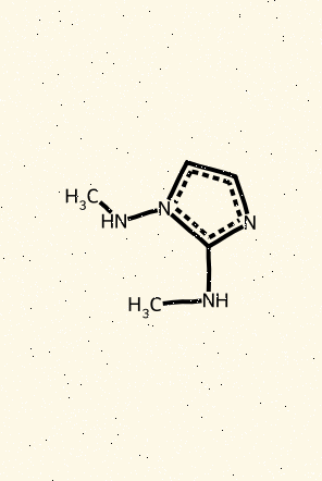 CNc1nccn1NC